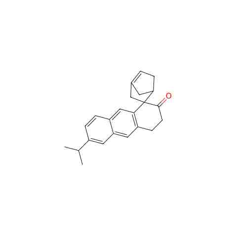 CC(C)c1ccc2cc3c(cc2c1)CCC(=O)C31CC2=CCC1C2